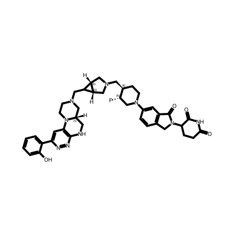 O=C1CCC(N2Cc3ccc(N4CC[C@H](CN5C[C@@H]6C(CN7CCN8c9cc(-c%10ccccc%10O)nnc9NC[C@H]8C7)[C@@H]6C5)[C@@H](F)C4)cc3C2=O)C(=O)N1